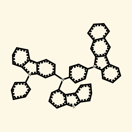 c1ccc(-n2c3ccccc3c3ccc(N(c4ccc(-n5c6ccccc6c6cc7ccccc7cc65)cc4)c4cccc5sc6ccccc6c45)cc32)cc1